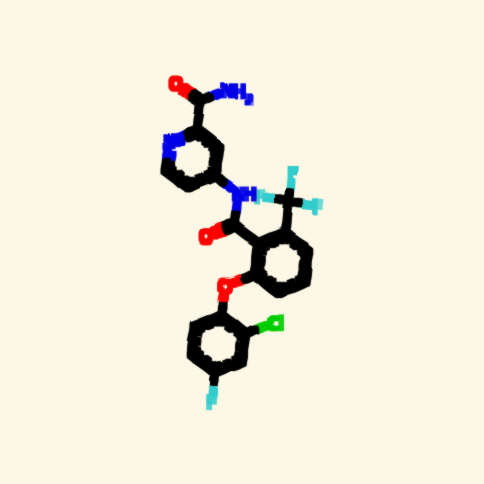 NC(=O)c1cc(NC(=O)c2c(Oc3ccc(F)cc3Cl)cccc2C(F)(F)F)ccn1